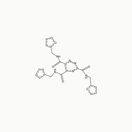 O=C(NCc1ccco1)c1nnc(C(=O)NCc2ccco2)c(C(=O)NCc2ccco2)n1